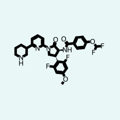 COc1cc(F)c([C@@H]2CN(c3cccc(C4CCCNC4)n3)C(=O)[C@H]2NC(=O)c2ccc(OC(F)F)cc2)c(F)c1